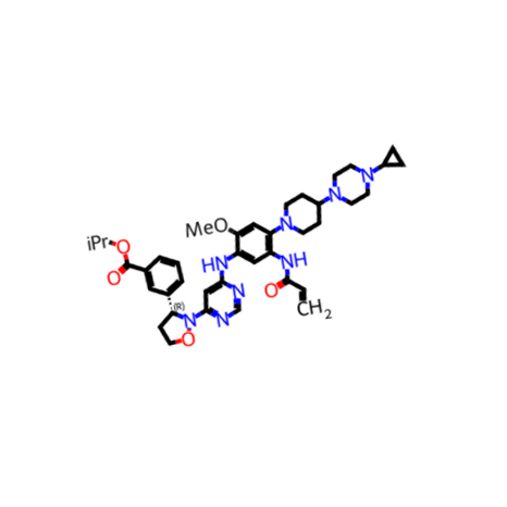 C=CC(=O)Nc1cc(Nc2cc(N3OCC[C@@H]3c3cccc(C(=O)OC(C)C)c3)ncn2)c(OC)cc1N1CCC(N2CCN(C3CC3)CC2)CC1